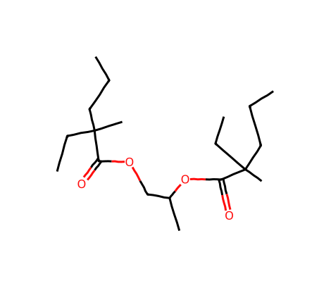 CCCC(C)(CC)C(=O)OCC(C)OC(=O)C(C)(CC)CCC